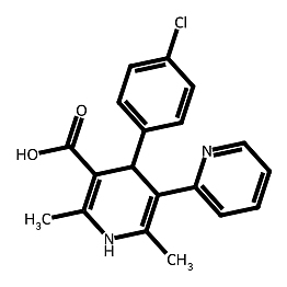 CC1=C(C(=O)O)C(c2ccc(Cl)cc2)C(c2ccccn2)=C(C)N1